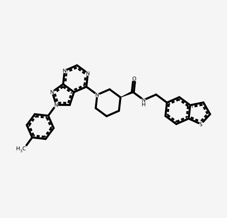 Cc1ccc(-n2cc3c(N4CCC[C@H](C(=O)NCc5ccc6sccc6c5)C4)ncnc3n2)cc1